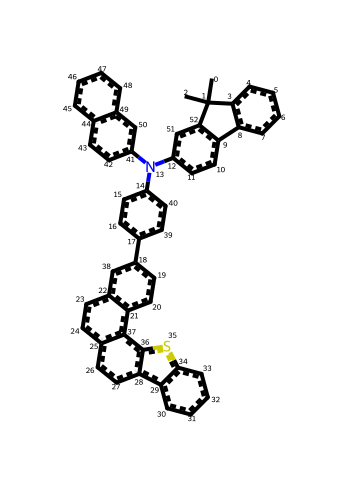 CC1(C)c2ccccc2-c2ccc(N(c3ccc(-c4ccc5c(ccc6ccc7c8ccccc8sc7c65)c4)cc3)c3ccc4ccccc4c3)cc21